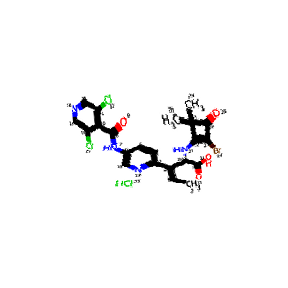 CCC(c1ccc(NC(=O)c2c(Cl)cncc2Cl)cn1)[C@H](NC1=C(Br)C(=O)C1(C)C)C(=O)O.Cl